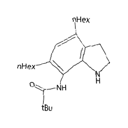 CCCCCCc1cc(CCCCCC)c(NC(=O)C(C)(C)C)c2c1CCN2